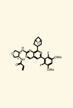 C=CC(=O)N[C@H]1COC[C@H]1Nc1ncc2cc(-c3c(F)c(OC)cc(OC)c3F)nc(C3CC4CC(C3)O4)c2n1